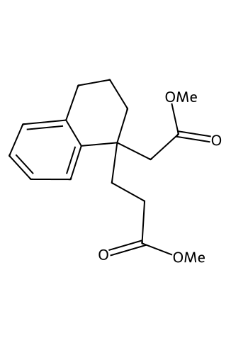 COC(=O)CCC1(CC(=O)OC)CCCc2ccccc21